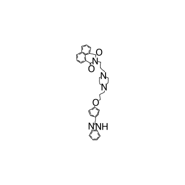 O=C1c2cccc3cccc(c23)C(=O)N1CCCN1CCN(CCCOc2ccc(-c3nc4ccccc4[nH]3)cc2)CC1